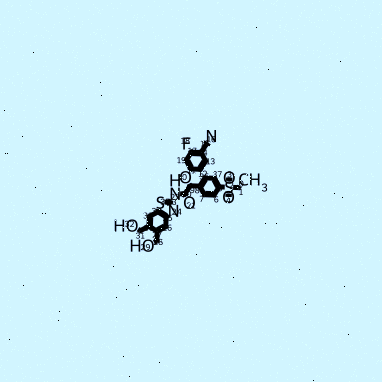 CCS(=O)(=O)c1ccc(C(Oc2ccc(C#N)c(F)c2)C(=O)Nc2nc3cc(CO)c(CO)cc3s2)cc1